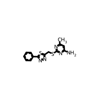 Cc1cc(N)nc(SCc2nnc(-c3ccccc3)s2)n1